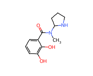 CN(C(=O)c1cccc(O)c1O)C1CCCN1